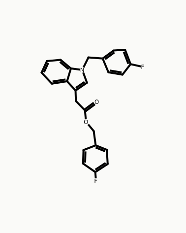 O=C(Cc1cn(Cc2ccc(F)cc2)c2ccccc12)OCc1ccc(F)cc1